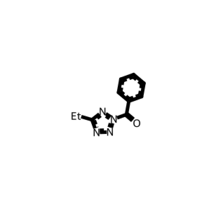 CCc1nnn(C(=O)c2ccccc2)n1